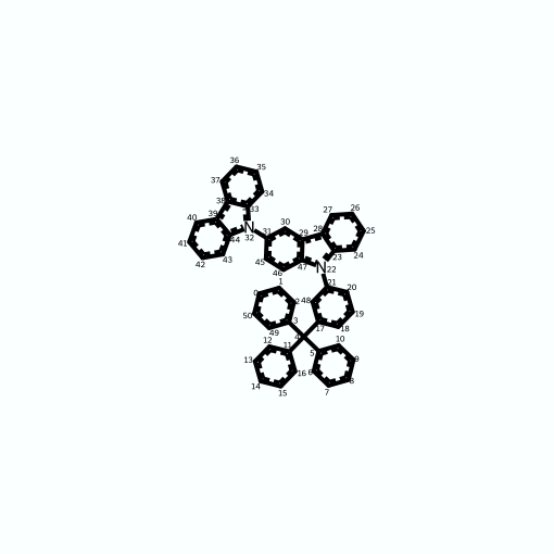 c1ccc(C(c2ccccc2)(c2ccccc2)c2cccc(-n3c4ccccc4c4cc(-n5c6ccccc6c6ccccc65)ccc43)c2)cc1